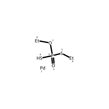 CCOP(=O)(S)SCC.[Pd]